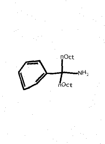 CCCCCCCCC(N)(CCCCCCCC)c1ccccc1